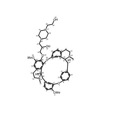 COc1ccc2cc1Oc1ccc(cc1)C[C@H]1c3cc(ccc3CCN1C)Oc1c(OCC(O)CN3CCN(CCO)CC3)c(OC)cc3c1[C@H](C2)N(C)CC3